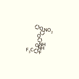 O=C(Nc1ccc(Oc2ccc([N+](=O)[O-])c(Oc3ccccc3)c2)cc1)Nc1cc(C(F)(F)F)ccc1F